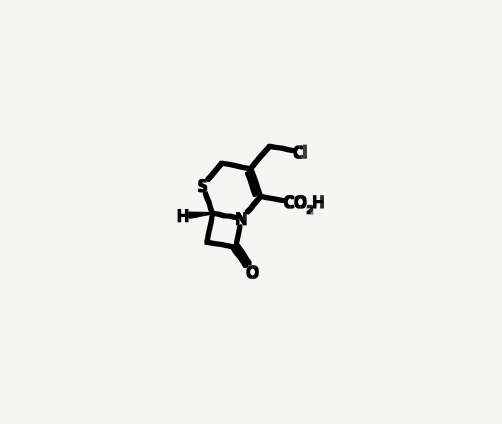 O=C(O)C1=C(CCl)CS[C@H]2CC(=O)N12